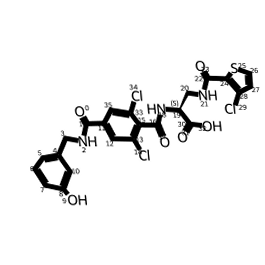 O=C(NCc1cccc(O)c1)c1cc(Cl)c(C(=O)N[C@@H](CNC(=O)c2sccc2Cl)C(=O)O)c(Cl)c1